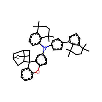 CC1(C)CCC(C)(C)c2c(-c3ccc(N(c4ccc5c(c4)C4(c6ccccc6O5)C5CC6CC7CC4C75C6)c4cccc5c4C(C)(C)CCC5(C)C)cc3)cccc21